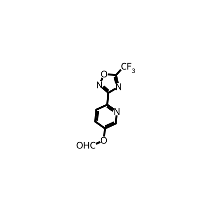 O=COc1ccc(-c2noc(C(F)(F)F)n2)nc1